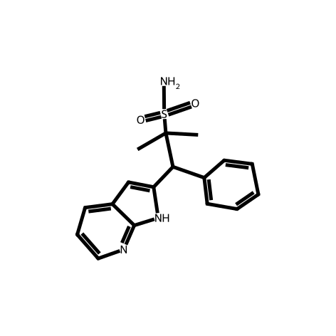 CC(C)(C(c1ccccc1)c1cc2cccnc2[nH]1)S(N)(=O)=O